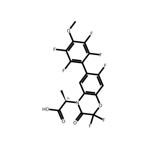 COc1c(F)c(F)c(-c2cc3c(cc2F)OC(F)(F)C(=O)N3[C@H](C)C(=O)O)c(F)c1F